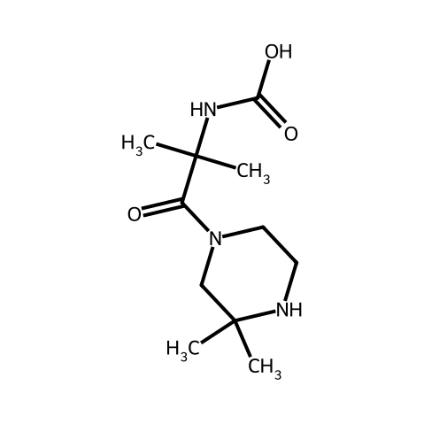 CC1(C)CN(C(=O)C(C)(C)NC(=O)O)CCN1